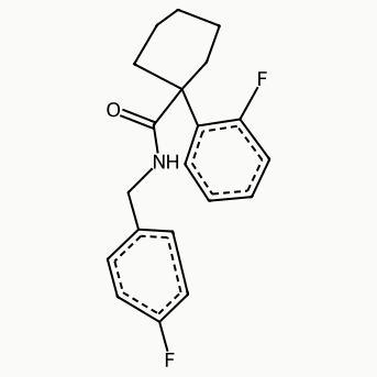 O=C(NCc1ccc(F)cc1)C1(c2ccccc2F)CCCCC1